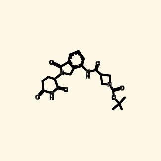 CC(C)(C)OC(=O)N1CC(C(=O)Nc2cccc3c2CN(C2CCC(=O)NC2=O)C3=O)C1